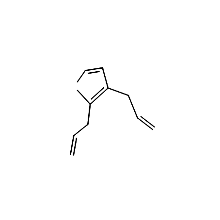 C=CCc1ccsc1CC=C